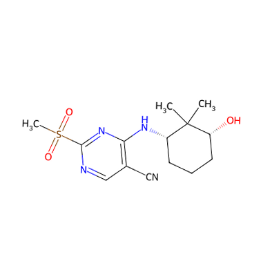 CC1(C)[C@H](O)CCC[C@@H]1Nc1nc(S(C)(=O)=O)ncc1C#N